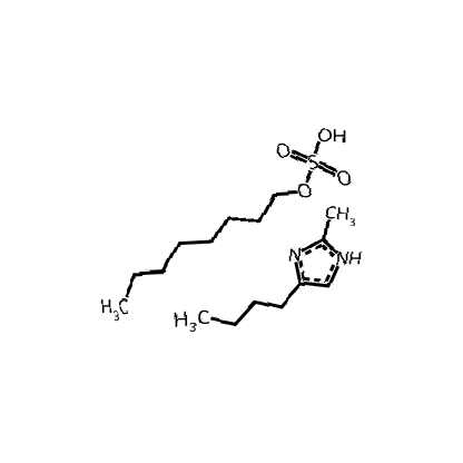 CCCCCCCCOS(=O)(=O)O.CCCCc1c[nH]c(C)n1